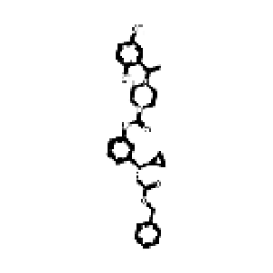 CC(c1cc(C(F)(F)F)ccc1C(F)(F)F)N1CCN(C(=O)Oc2cccc([C@@H](CC(=O)OCc3ccccc3)C3CC3)c2)CC1